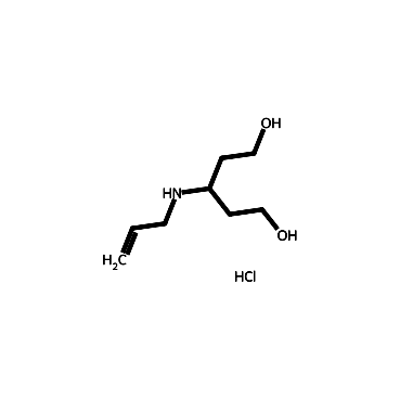 C=CCNC(CCO)CCO.Cl